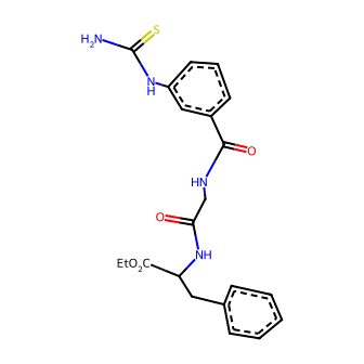 CCOC(=O)C(Cc1ccccc1)NC(=O)CNC(=O)c1cccc(NC(N)=S)c1